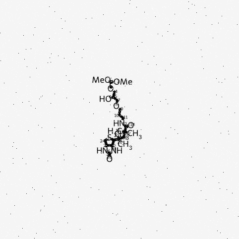 COP(OC)OCC(O)COCCCNC(=O)C(C)(C)CC(C)(C)C1SCC2NC(=O)NC21